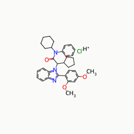 COc1ccc(-c2nc3ccccc3n2C(C(=O)N(c2ccccc2)C2CCCCC2)C2CCCC2)c(OC)c1.[Cl-].[H+]